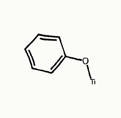 [Ti][O]c1ccccc1